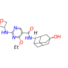 CCOc1nc(NC2COC2)ncc1C(=O)N[C@H]1C2CC3CC1C[C@@](O)(C3)C2